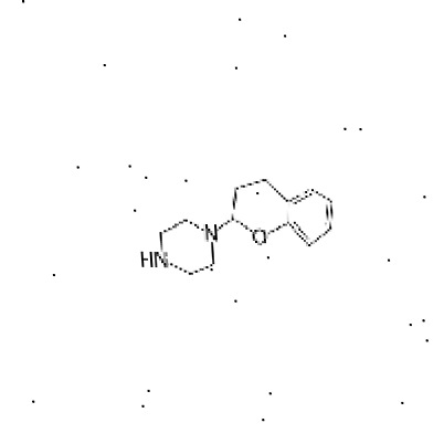 c1ccc2c(c1)CCC(N1CCNCC1)O2